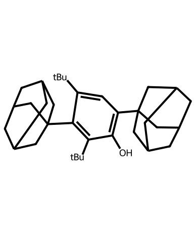 CC(C)(C)c1cc(C23CC4CC(CC(C4)C2)C3)c(O)c(C(C)(C)C)c1C12CC3CC(CC(C3)C1)C2